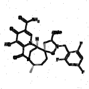 COC1C[C@@]2(CC[C@H](C)N3C[C@H]2n2cc(C(N)=O)c(=O)c(O)c2C3=O)ON1Cc1c(F)cc(F)cc1F